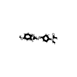 CCN(C(C)=O)c1ccc(/N=N/c2nc3ccc(OC)cc3s2)cc1